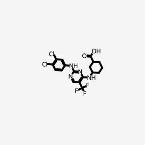 O=C(O)C1CCCC(Nc2nc(Nc3ccc(Cl)c(Cl)c3)ncc2C(F)(F)F)C1